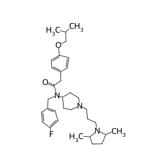 CC(C)COc1ccc(CC(=O)N(Cc2ccc(F)cc2)C2CCN(CCCN3C(C)CCC3C)CC2)cc1